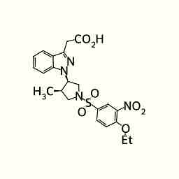 CCOc1ccc(S(=O)(=O)N2C[C@@H](C)[C@@H](n3nc(CC(=O)O)c4ccccc43)C2)cc1[N+](=O)[O-]